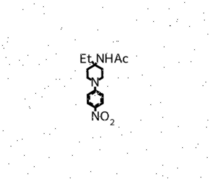 CCC1(NC(C)=O)CCN(c2ccc([N+](=O)[O-])cc2)CC1